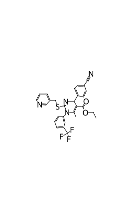 CCOC(=O)C1=C(C)N(c2cccc(C(F)(F)F)c2)C(SCc2cccnc2)=NC1c1ccc(C#N)cc1